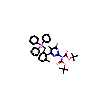 Cc1cccc(C[PH](c2ccccc2)(c2ccccc2)c2ccccc2)c1-c1nc(N(C(=O)OC(C)(C)C)C(=O)OC(C)(C)C)nc(Cl)c1C